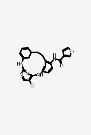 O=C(Nc1ccc2cc1CCC1C=CC=C(C1)Nc1ncc(Cl)c(n1)N2)c1ccoc1